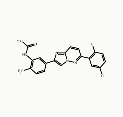 CC(C)(C)C(=O)Nc1cc(-c2cn3nc(-c4cc(Cl)ccc4F)ccc3n2)ccc1C(F)(F)F